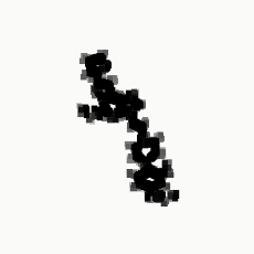 Nc1nc2c(ncn2CCN2CCN(c3ccc(C(=O)O)cc3F)CC2)c2cc(-c3ccco3)nn12